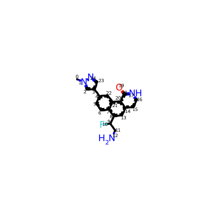 Cn1cc(-c2ccc3c(C(F)CN)cc4cc[nH]c(=O)c4c3c2)cn1